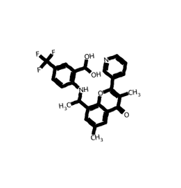 Cc1cc(C(C)Nc2ccc(C(F)(F)F)cc2C(O)O)c2oc(-c3cccnc3)c(C)c(=O)c2c1